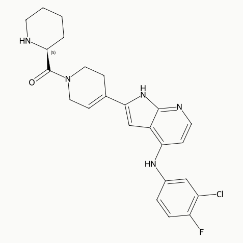 O=C([C@@H]1CCCCN1)N1CC=C(c2cc3c(Nc4ccc(F)c(Cl)c4)ccnc3[nH]2)CC1